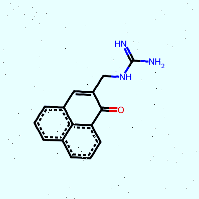 N=C(N)NCC1=Cc2cccc3cccc(c23)C1=O